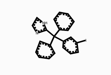 Ic1cccc(C(c2ccccc2)(c2ccccc2)c2ncc[nH]2)c1